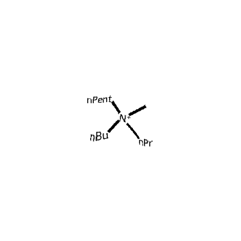 CCCCC[N+](C)(CCC)CCCC